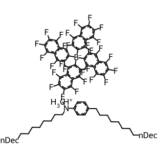 CCCCCCCCCCCCCCCCCCc1ccc([NH+](C)CCCCCCCCCCCCCCCCCC)cc1.Fc1c(F)c(F)c2c(F)c([B-](c3c(F)c(F)c4c(F)c(F)c(F)c(F)c4c3F)(c3c(F)c(F)c4c(F)c(F)c(F)c(F)c4c3F)c3c(F)c(F)c4c(F)c(F)c(F)c(F)c4c3F)c(F)c(F)c2c1F